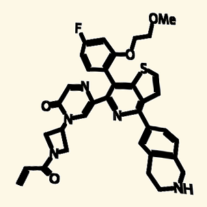 C=CC(=O)N1CC(n2cc(-c3nc(-c4ccc5c(c4)CCNC5)c4ccsc4c3-c3ccc(F)cc3OCCOC)ncc2=O)C1